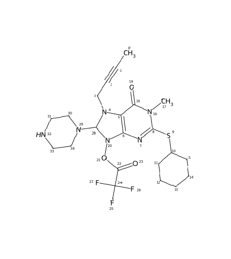 CC#CCN1c2c(nc(SC3CCCCC3)n(C)c2=O)N(OC(=O)C(F)(F)F)C1N1CCNCC1